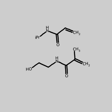 C=C(C)C(=O)NCCO.C=CC(=O)NC(C)C